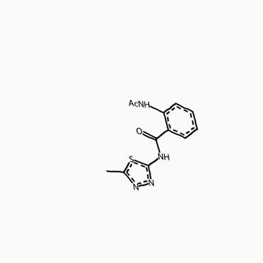 CC(=O)Nc1ccccc1C(=O)Nc1nnc(C)s1